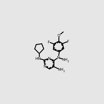 COc1c(F)cc(N(N)c2nc(NC3CCCC3)ncc2N)cc1F